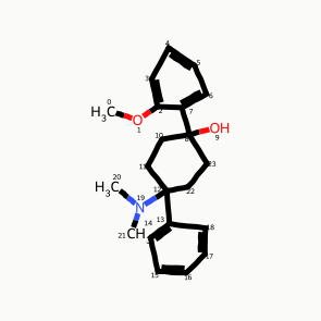 COc1ccccc1C1(O)CCC(c2ccccc2)(N(C)C)CC1